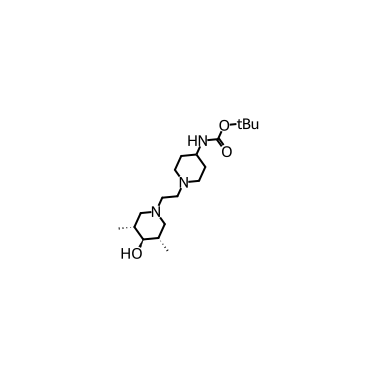 C[C@@H]1CN(CCN2CCC(NC(=O)OC(C)(C)C)CC2)C[C@H](C)[C@H]1O